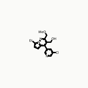 CCc1ccc2c(-c3cncc(Cl)c3)c(CO)c(COC)nn12